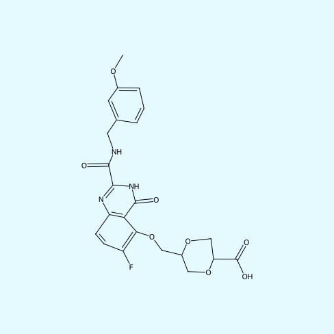 COc1cccc(CNC(=O)c2nc3ccc(F)c(OCC4COC(C(=O)O)CO4)c3c(=O)[nH]2)c1